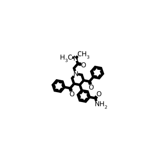 CN(C)C(=O)CN1CC(C(=O)c2ccccc2)C(c2cccc(C(N)=O)c2)C(C(=O)c2ccccc2)C1